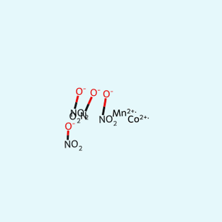 O=[N+]([O-])[O-].O=[N+]([O-])[O-].O=[N+]([O-])[O-].O=[N+]([O-])[O-].[Co+2].[Mn+2]